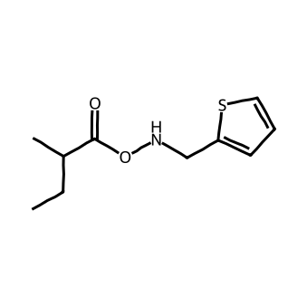 CCC(C)C(=O)ONCc1cccs1